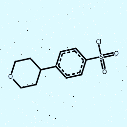 O=S(=O)(Cl)c1ccc(C2CCOCC2)cc1